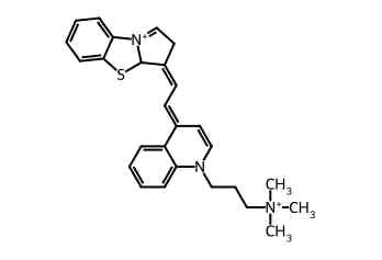 C[N+](C)(C)CCCN1C=CC(=CC=C2CC=[N+]3c4ccccc4SC23)c2ccccc21